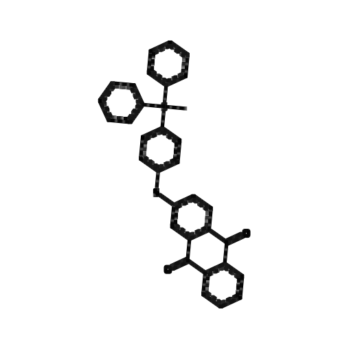 CS(c1ccccc1)(c1ccccc1)c1ccc(Sc2ccc3c(c2)C(=O)c2ccccc2C3=O)cc1